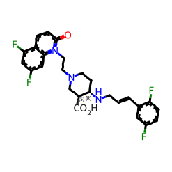 O=C(O)[C@H]1CN(CCn2c(=O)ccc3c(F)cc(F)cc32)CC[C@H]1NCC=Cc1cc(F)ccc1F